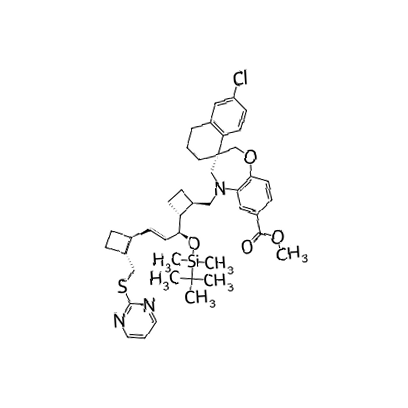 COC(=O)c1ccc2c(c1)N(C[C@@H]1CC[C@H]1[C@H](/C=C/[C@@H]1CC[C@H]1CSc1ncccn1)O[Si](C)(C)C(C)(C)C)C[C@@]1(CCCc3cc(Cl)ccc31)CO2